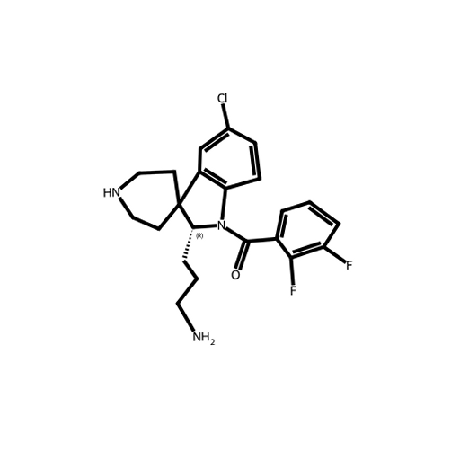 NCCC[C@H]1N(C(=O)c2cccc(F)c2F)c2ccc(Cl)cc2C12CCNCC2